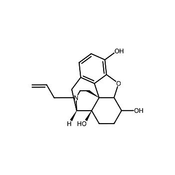 C=CCN1CC[C@@]23c4c5ccc(O)c4OC2C(O)CC[C@]3(O)[C@@H]1C5